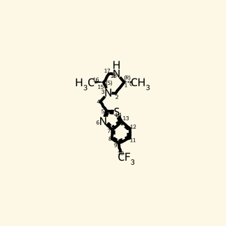 C[C@@H]1CN(Cc2nc3cc(C(F)(F)F)ccc3s2)[C@@H](C)CN1